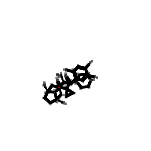 N[C@H](Cc1cc(F)c(F)cc1F)[C@@H]1C[C@H]2CC[C@@H](C1)N2C(=O)C1(C(=O)N2CCOCC2)CC1